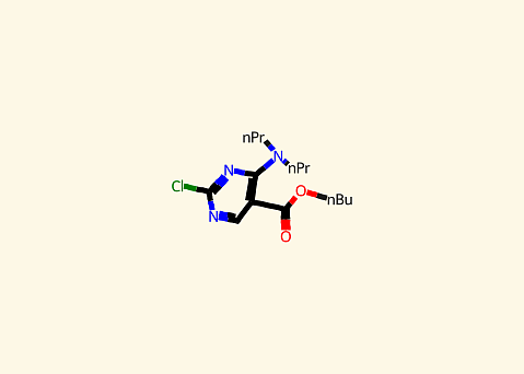 CCCCOC(=O)c1cnc(Cl)nc1N(CCC)CCC